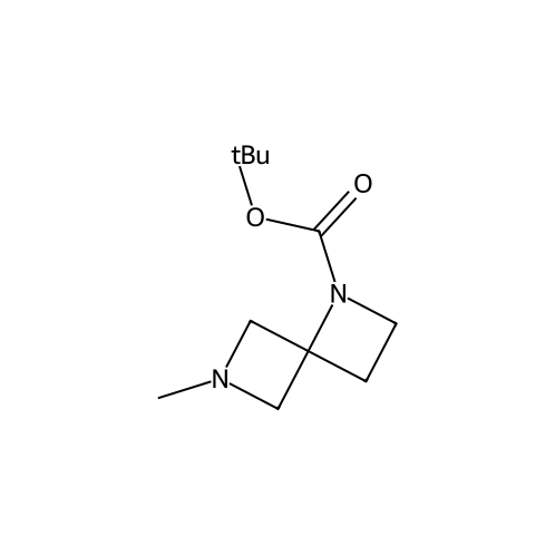 CN1CC2(CCN2C(=O)OC(C)(C)C)C1